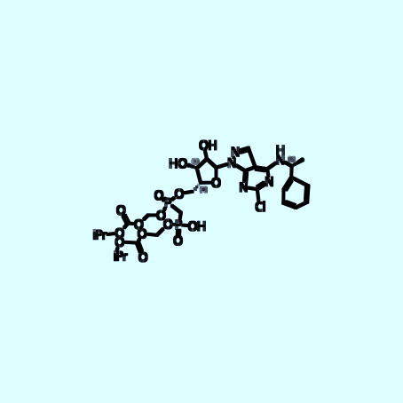 CC(C)OC(=O)OCOP(=O)(O)CP(=O)(OCOC(=O)OC(C)C)OC[C@H]1OC(n2ncc3c(N[C@@H](C)c4ccccc4)nc(Cl)nc32)C(O)[C@@H]1O